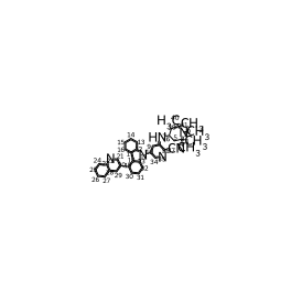 CN1C(C)(C)CC(Nc2cc(-n3c4ccccc4c4c(-c5cnc6ccccc6c5)cccc43)cnc2C#N)CC1(C)C